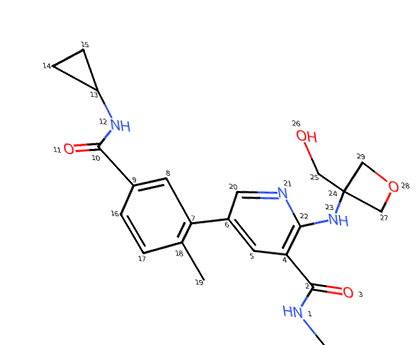 CNC(=O)c1cc(-c2cc(C(=O)NC3CC3)ccc2C)cnc1NC1(CO)COC1